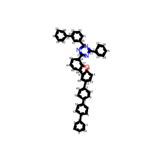 c1ccc(-c2ccc(-c3ccc(-c4ccc5oc6c(-c7nc(-c8ccccc8)nc(-c8cccc(-c9ccccc9)c8)n7)cccc6c5c4)cc3)cc2)cc1